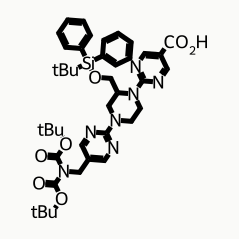 CC(C)(C)OC(=O)N(Cc1cnc(N2CCN(c3ncc(C(=O)O)cn3)C(CO[Si](c3ccccc3)(c3ccccc3)C(C)(C)C)C2)nc1)C(=O)OC(C)(C)C